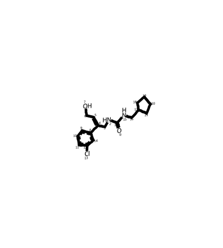 O=C(NC/C(=C/CO)c1cccc(Cl)c1)NCC1CCCC1